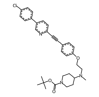 CN(CCOc1ccc(C#Cc2ccc(-c3ccc(Cl)cc3)cn2)cc1)C1CCN(C(=O)OC(C)(C)C)CC1